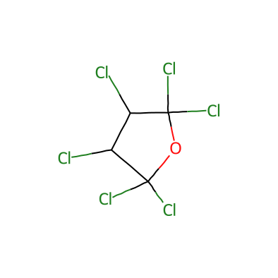 ClC1C(Cl)C(Cl)(Cl)OC1(Cl)Cl